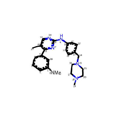 CNc1cccc(-c2nc(Nc3ccc(CN4CCN(C)CC4)cc3)ncc2C)c1